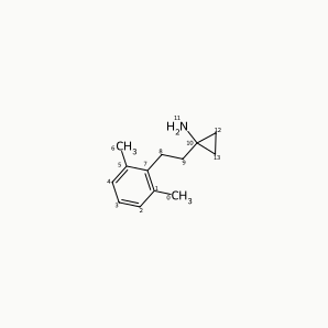 Cc1cccc(C)c1CCC1(N)CC1